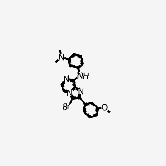 COc1cccc(-c2nc3c(Nc4cccc(N(C)C)c4)nccn3c2Br)c1